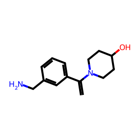 C=C(c1cccc(CN)c1)N1CCC(O)CC1